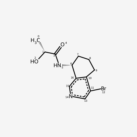 C[C@@H](O)C(=O)N[C@@H]1CCCc2c(Br)cncc21